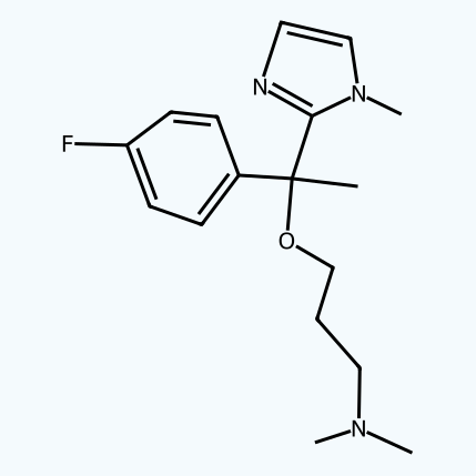 CN(C)CCCOC(C)(c1ccc(F)cc1)c1nccn1C